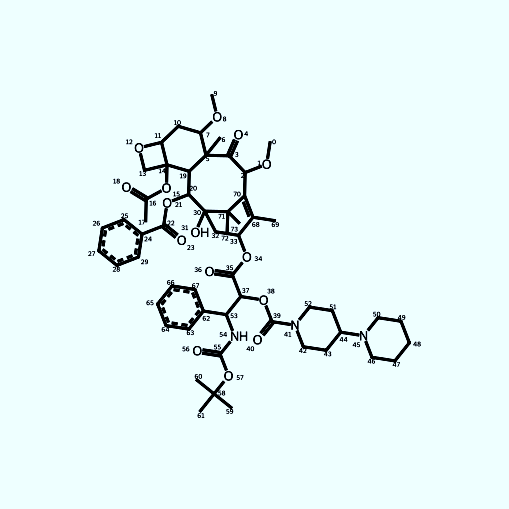 COC1C(=O)C2(C)C(OC)CC3OCC3(OC(C)=O)C2C(OC(=O)c2ccccc2)C2(O)CC(OC(=O)C(OC(=O)N3CCC(N4CCCCC4)CC3)C(NC(=O)OC(C)(C)C)c3ccccc3)C(C)=C1C2(C)C